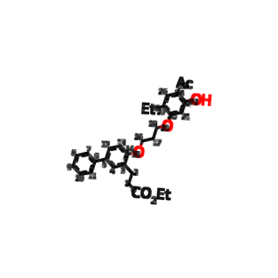 CCOC(=O)CCc1cc(-c2ccccc2)ccc1OCCCOc1cc(O)c(C(C)=O)cc1CC